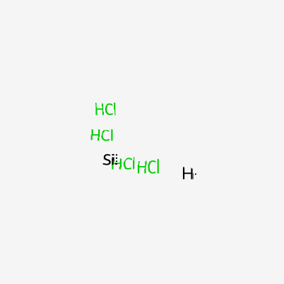 Cl.Cl.Cl.Cl.[H].[Si]